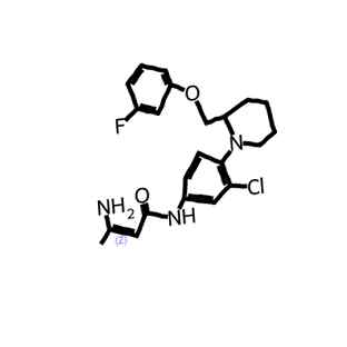 C/C(N)=C/C(=O)Nc1ccc(N2CCCCC2COc2cccc(F)c2)c(Cl)c1